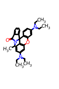 CCN(CC)c1ccc2c(c1)Oc1cc(N(CC)CC)ccc1C21c2ccccc2C(=O)N1CC